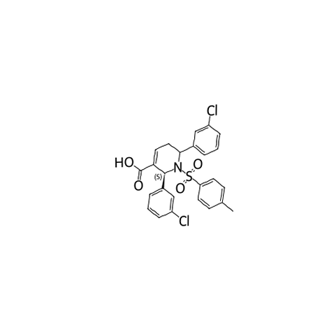 Cc1ccc(S(=O)(=O)N2C(c3cccc(Cl)c3)CC=C(C(=O)O)[C@@H]2c2cccc(Cl)c2)cc1